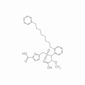 COC(C(=O)O)C(c1ccccc1CCCCCCCCc1ccccc1)S(=O)(=O)Cc1ccc(C(=O)O)s1